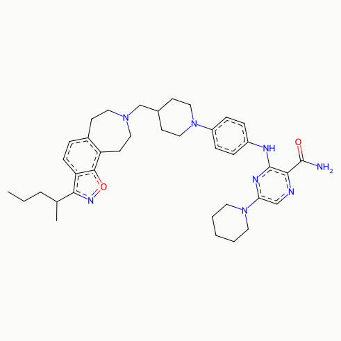 CCCC(C)c1noc2c3c(ccc12)CCN(CC1CCN(c2ccc(Nc4nc(N5CCCCC5)cnc4C(N)=O)cc2)CC1)CC3